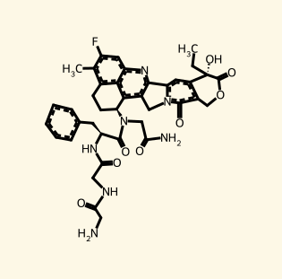 CC[C@@]1(O)C(=O)OCc2c1cc1n(c2=O)Cc2c-1nc1cc(F)c(C)c3c1c2[C@@H](N(CC(N)=O)C(=O)[C@H](Cc1ccccc1)NC(=O)CNC(=O)CN)CC3